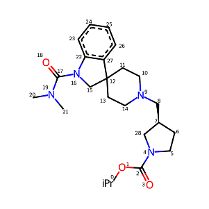 CC(C)OC(=O)N1CC[C@H](CN2CCC3(CC2)CN(C(=O)N(C)C)c2ccccc23)C1